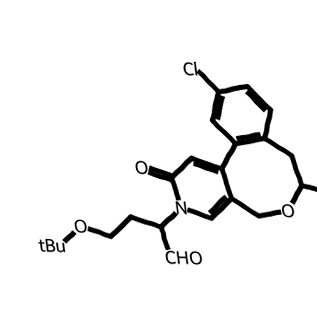 CC1Cc2ccc(Cl)cc2-c2cc(=O)n(C(C=O)CCOC(C)(C)C)cc2CO1